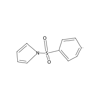 O=S(=O)(c1cc[c]cc1)n1cccc1